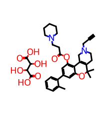 C#CCN1CCC2=C(C1)c1c(OC(=O)CCN3CCCCC3)cc(-c3ccccc3C)cc1OC2(C)C.O=C(O)C(O)C(O)C(=O)O